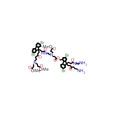 COC(=O)CCN(CCCC(=O)CCC1(CCC(=O)NCCN(CCC(=O)OC)CCC(=O)OCc2cc(Br)cc3c2-c2ccc(Br)cc2C3(CCC(=O)CCCN)CCC(=O)NCCN)c2cc(Br)ccc2-c2ccc(Br)cc21)CCC(=O)OC